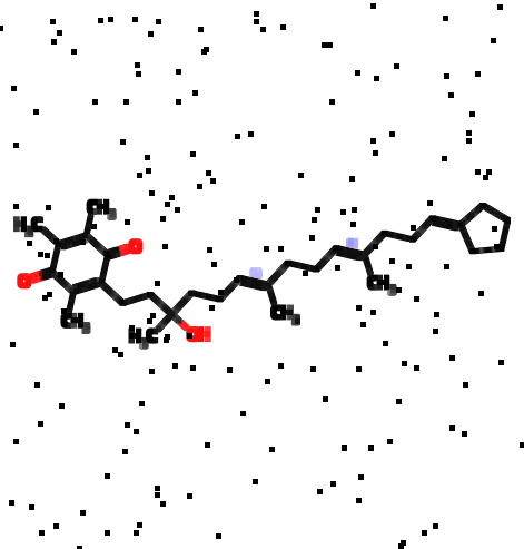 CC1=C(C)C(=O)C(CCC(C)(O)CC/C=C(\C)CC/C=C(\C)CCC=C2CCCC2)=C(C)C1=O